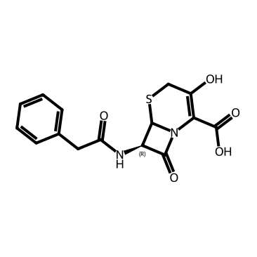 O=C(Cc1ccccc1)N[C@@H]1C(=O)N2C(C(=O)O)=C(O)CSC12